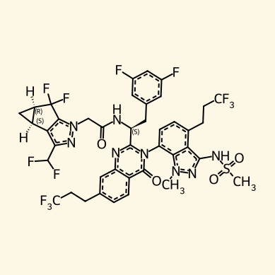 Cn1nc(NS(C)(=O)=O)c2c(CCC(F)(F)F)ccc(-n3c([C@H](Cc4cc(F)cc(F)c4)NC(=O)Cn4nc(C(F)F)c5c4C(F)(F)[C@@H]4C[C@H]54)nc4cc(CCC(F)(F)F)ccc4c3=O)c21